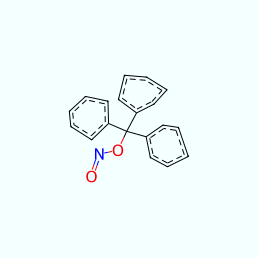 O=NOC(c1ccccc1)(c1ccccc1)c1ccccc1